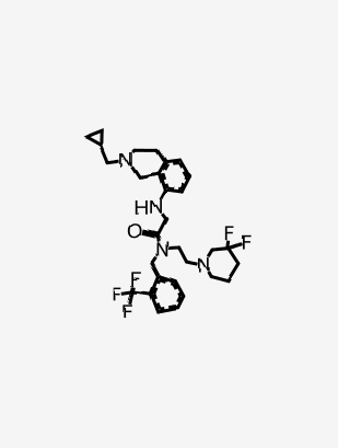 O=C(CNc1cccc2c1CN(CC1CC1)CC2)N(CCN1CCCC(F)(F)C1)Cc1ccccc1C(F)(F)F